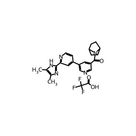 Cc1nc(-c2cc(-c3cncc(C(=O)N4C5CCC4CC5)c3)ccn2)[nH]c1C.O=C(O)C(F)(F)F